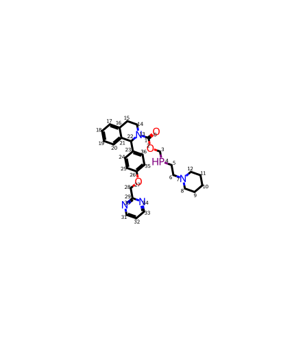 O=C(OCPCCN1CCCCC1)N1CCc2ccccc2C1c1ccc(OCc2ncccn2)cc1